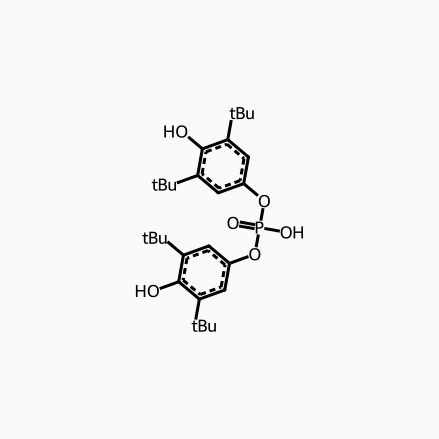 CC(C)(C)c1cc(OP(=O)(O)Oc2cc(C(C)(C)C)c(O)c(C(C)(C)C)c2)cc(C(C)(C)C)c1O